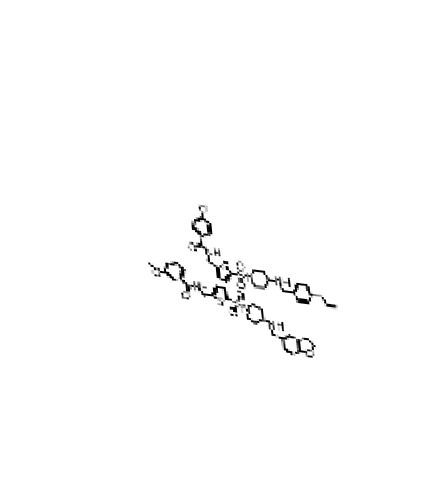 CCCc1ccc(CNC2CCN(S(=O)(=O)c3ccc(CNC(=O)c4ccc(Cl)cc4)s3)CC2)cc1.COc1cccc(C(=O)NCc2ccc(S(=O)(=O)N3CCC(NCc4ccc5c(c4)CCO5)CC3)s2)c1